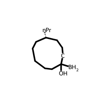 BC1(O)CCCCC[C@H](CCC)CCC1